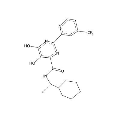 C[C@H](NC(=O)c1nc(-c2cc(C(F)(F)F)ccn2)nc(O)c1O)C1CCCCC1